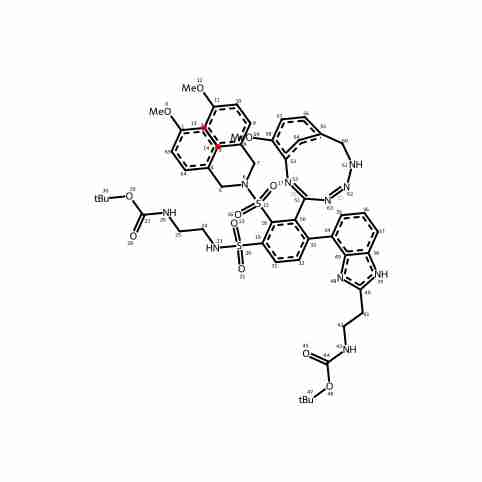 COc1ccc(CN(Cc2ccc(OC)cc2)S(=O)(=O)c2c(S(=O)(=O)NCCNC(=O)OC(C)(C)C)ccc(-c3cccc4[nH]c(CCNC(=O)OC(C)(C)C)nc34)c2C2=N/c3cc(ccc3OC)CN/N=N\2)cc1